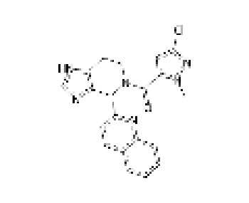 Cn1nc(Cl)cc1C(=O)N1CCc2[nH]cnc2[C@H]1c1ccc2ccccc2n1